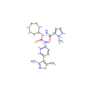 Cc1noc(C)c1-c1ccc(NC(=O)[C@@H](NC(=O)c2ccnn2C)C2CCCCCC2)nc1